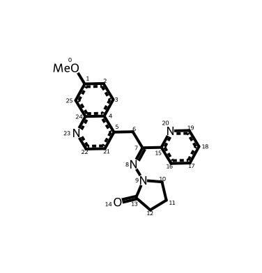 COc1ccc2c(CC(=NN3CCCC3=O)c3ccccn3)ccnc2c1